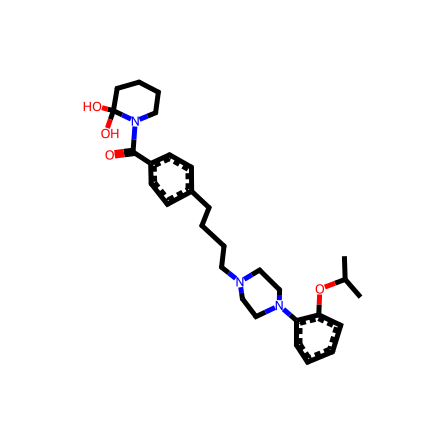 CC(C)Oc1ccccc1N1CCN(CCCCc2ccc(C(=O)N3CCCCC3(O)O)cc2)CC1